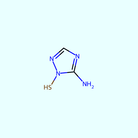 Nc1ncnn1S